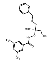 CC(C)COC[C@](C=O)(COCc1ccccc1)ONC(=O)c1cc(C(F)(F)F)cc(C(F)(F)F)c1